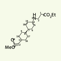 CCOC(=O)CCNC1=CC[C@@H](C2CCC(CC(=O)OC)CC2)C=C1